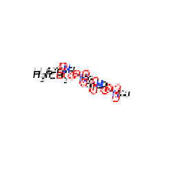 CC(C)(C)c1ccc2c(c1)C(=O)C(c1ccc3c(C(=O)OCCCN4C(=O)c5cccc(-c6cccc7c6C(=O)C(c6ccc8c(C(=O)OCCCN9C(=O)c%10cc%11ccccc%11cc%10C9=O)cccc8n6)C7=O)c5C4=O)cccc3n1)C2=O